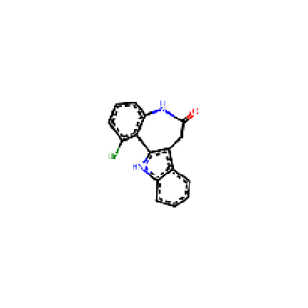 O=C1Cc2c([nH]c3ccccc23)-c2c(Br)cccc2N1